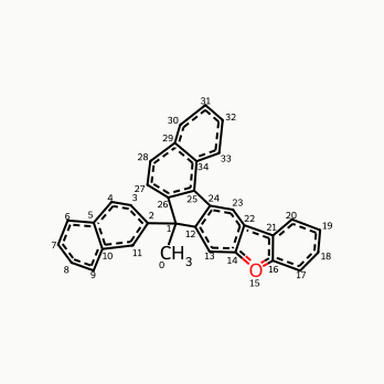 CC1(c2ccc3ccccc3c2)c2cc3oc4ccccc4c3cc2-c2c1ccc1ccccc21